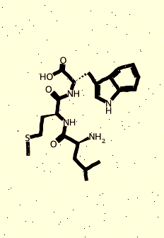 CSCC[C@H](NC(=O)[C@@H](N)CC(C)C)C(=O)N[C@@H](Cc1c[nH]c2ccccc12)C(=O)O